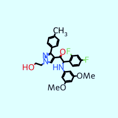 COc1cc(NC(C(=O)c2cn(CCO)nc2-c2ccc(C)cc2)c2ccc(F)cc2F)cc(OC)c1